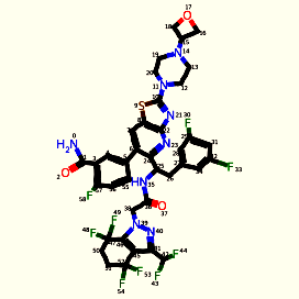 NC(=O)c1cc(-c2cc3sc(N4CCN(C5COC5)CC4)nc3nc2C(Cc2cc(F)cc(F)c2)NC(=O)Cn2nc(C(F)F)c3c2C(F)(F)CCC3(F)F)ccc1F